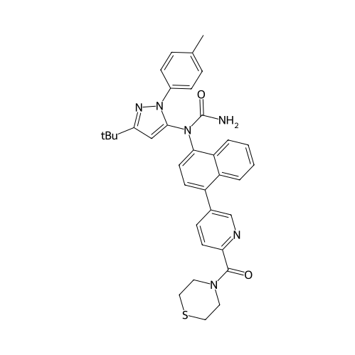 Cc1ccc(-n2nc(C(C)(C)C)cc2N(C(N)=O)c2ccc(-c3ccc(C(=O)N4CCSCC4)nc3)c3ccccc23)cc1